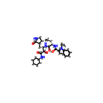 CC(C)C[C@H](NC(=O)c1cc2ccccc2n1C)C(=O)N[C@@H](C[C@@H]1CCNC1=O)C(=O)C(=O)NC1CCCCC1